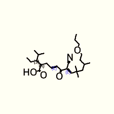 CCCOCCC(C)CC(C)(C)/C=C(\C#N)C(=O)/C=C/C[C@@H](C(=O)O)[C@@H](CC)C(C)C